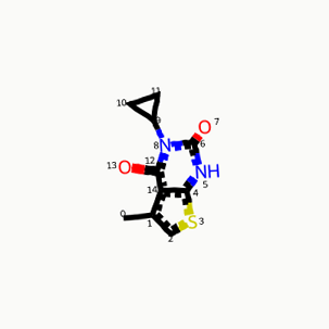 Cc1csc2[nH]c(=O)n(C3CC3)c(=O)c12